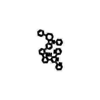 C1=CC(c2ccccc2)=Cc2c(n(-c3ccccc3)c3ccc(-c4cccc5c4[nH]c4c(-c6cc(-c7ccccn7)nc(-c7ccccn7)c6)cccc45)cc23)C1